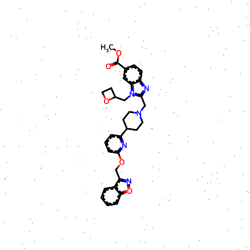 COC(=O)c1ccc2nc(CN3CCC(c4cccc(OCc5noc6ccccc56)n4)CC3)n(CC3CCO3)c2c1